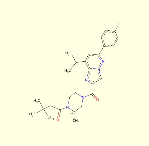 CC(C)c1cc(-c2ccc(F)cc2)nn2cc(C(=O)N3CCN(C(=O)CC(C)(C)C)[C@@H](C)C3)nc12